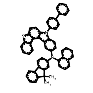 CC1(C)c2ccccc2-c2ccc(N(c3ccc4c(c3)c3c5c(ccc3n4-c3ccc(-c4ccccc4)cc3)sc3ccccc35)c3cccc4ccccc34)cc21